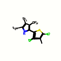 Cc1c(Cl)sc(-c2[nH]c([N+](=O)[O-])c(C(F)(F)F)c2C(F)(F)F)c1Cl